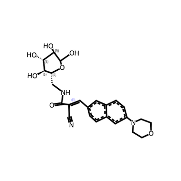 N#C/C(=C\c1ccc2cc(N3CCOCC3)ccc2c1)C(=O)NC[C@H]1OC(O)[C@H](O)[C@@H](O)[C@@H]1O